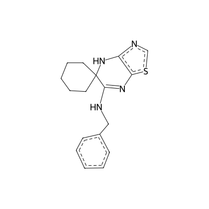 c1ccc(CNC2=Nc3scnc3NC23CCCCC3)cc1